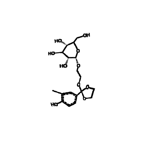 Cc1cc(C2(OCCO[C@H]3OC(CO)[C@@H](O)C(O)[C@H]3O)OCCO2)ccc1O